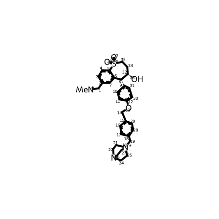 CNCc1ccc2c(c1)[C@@H](c1ccc(OCc3ccc(C[N+]45CCN(CC4)CC5)cc3)cc1)[C@@H](O)CCS2(=O)=O